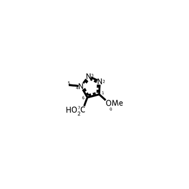 COc1nnn(C)c1C(=O)O